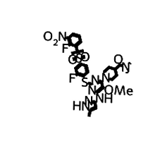 COc1c(Nc2cc(C)[nH]n2)nc(Sc2ccc(S(=O)(=O)C(C)(C)c3cccc([N+](=O)[O-])c3F)cc2F)nc1N1CCC(C(=O)N(C)C)CC1